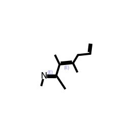 C=CC/C(C)=C(C)/C(C)=N/C